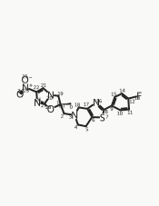 C[C@]1(CN2CCc3sc(-c4ccc(F)cc4)nc3C2)Cn2cc([N+](=O)[O-])nc2O1